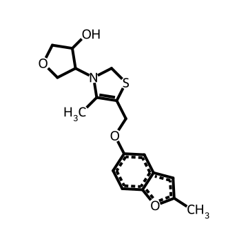 CC1=C(COc2ccc3oc(C)cc3c2)SCN1C1COCC1O